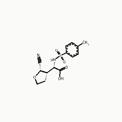 Cc1ccc(S(=O)(=O)N[C@H](C(=O)O)[C@@H]2CCO[C@@H]2C#N)cc1